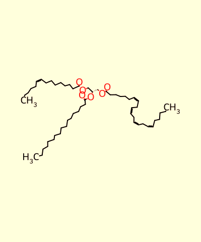 CCCCC/C=C\C/C=C\C/C=C\C/C=C\CCCCCC(=O)OC[C@@H](COC(=O)CCCCCCC/C=C\CCCCC)OC(=O)CCCCCCCCCCCCCCCC